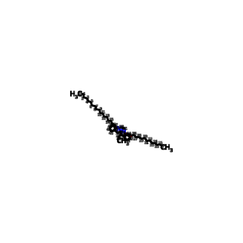 CCCCCCCCCCCCCCCCCCCN1C=CN(CCCCCCCCCCCCCCC)C1(Cc1ccccc1)C(CC)c1ccccc1